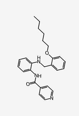 CCCCCCOc1ccccc1CNc1ccccc1NC(=O)c1ccncc1